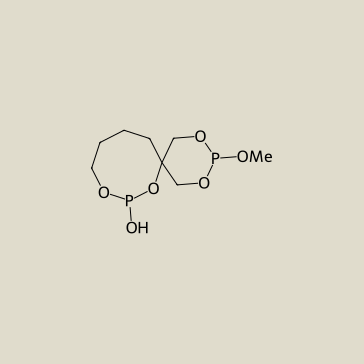 COP1OCC2(CCCCOP(O)O2)CO1